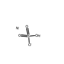 O=S(=O)(O)Cl.[N]